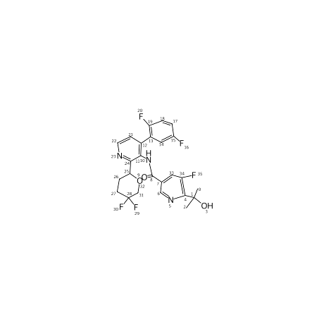 CC(C)(O)c1ncc(C(=O)Nc2c(-c3cc(F)ccc3F)ccnc2C2CCC(F)(F)CO2)cc1F